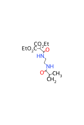 C=C(C)C(=O)NCCNC(=O)C(C(=O)OCC)C(=O)OCC